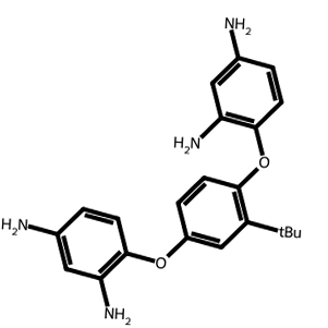 CC(C)(C)c1cc(Oc2ccc(N)cc2N)ccc1Oc1ccc(N)cc1N